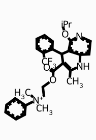 CC1=C(C(=O)OCC[N+](C)(C)c2ccccc2)C(c2ccccc2C(F)(F)F)c2c(ccnc2OC(C)C)N1